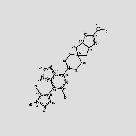 COC1=NC2CC3(CCN(c4nc(C)c(-c5cnn(C)c5C)n5nccc45)CC3)CC2S1